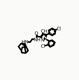 Cc1c(C(=O)NCCNC2C3CC4CC(C3)CC2C4)nn(-c2ccccc2Cl)c1-c1ccc(Cl)cc1